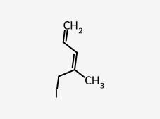 C=C/C=C(/C)CI